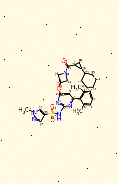 Cc1cccc(C)c1-c1cc(OC2CN(C(=O)C3CC3C3CCCCC3)C2)nc(NS(=O)(=O)c2cnn(C)c2)n1